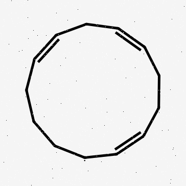 [CH]1C=CCCC=CCC=CCCC1